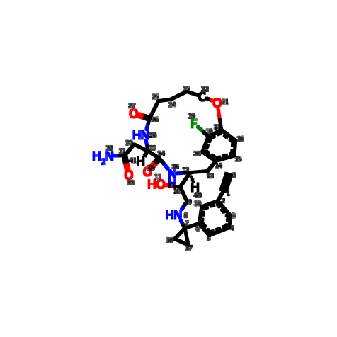 C#Cc1cccc(C2(NC[C@@H](O)[C@@H]3Cc4ccc(c(F)c4)OCCCCC(=O)N[C@@H](CC(N)=O)C(=O)N3)CC2)c1